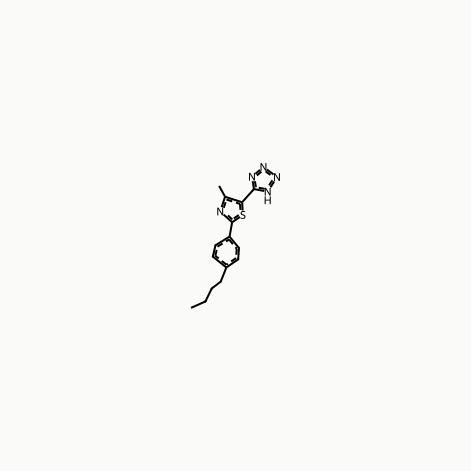 CCCCc1ccc(-c2nc(C)c(-c3nnn[nH]3)s2)cc1